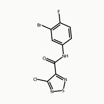 O=C(Nc1ccc(F)c(Br)c1)c1nsnc1Cl